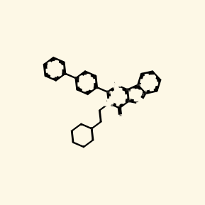 O=c1c2sc3ccccc3c2nc(-c2ccc(-c3ccccc3)cc2)n1CCC1CCCCC1